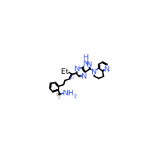 CC/C(=C\CCc1ccccc1[C@@H](C)N)c1cnc2c(N3CCCc4ncccc43)n[nH]c2n1